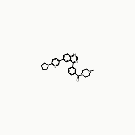 CN1CCN(C(=O)c2cccc(-c3ncnc4ccc(-c5ccc(N6CCCC6)nc5)cc34)c2)CC1